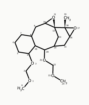 COCOC1CCCC2CC3O[C@@]34CC(CC3O[C@]34C)C(OCOC)C21